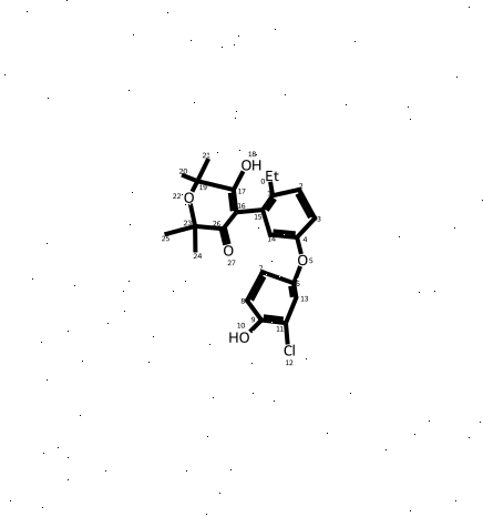 CCc1ccc(Oc2ccc(O)c(Cl)c2)cc1C1=C(O)C(C)(C)OC(C)(C)C1=O